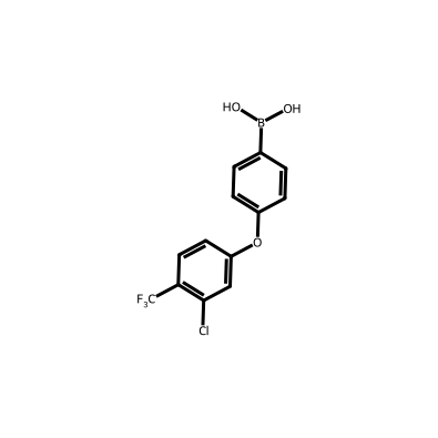 OB(O)c1ccc(Oc2ccc(C(F)(F)F)c(Cl)c2)cc1